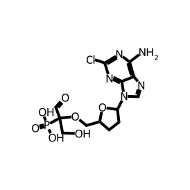 Nc1nc(Cl)nc2c1ncn2C1CCC(COC(C=O)(CO)P(=O)(O)O)O1